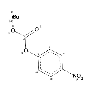 CC[C@@H](C)OC(=O)Oc1ccc([N+](=O)[O-])cc1